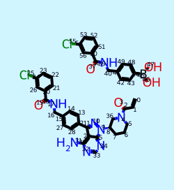 C=CC(=O)N1CCC[C@@H](n2nc(-c3ccc(CNC(=O)c4cccc(Cl)c4)cc3)c3c(N)ncnc32)C1.O=C(NCc1ccc(B(O)O)cc1)c1cccc(Cl)c1